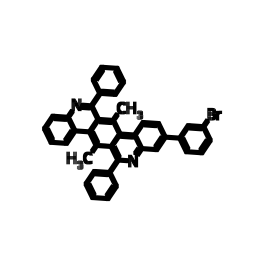 Cc1c2c(-c3ccccc3)nc3cc(-c4cccc(Br)c4)ccc3c2c(C)c2c(-c3ccccc3)nc3ccccc3c12